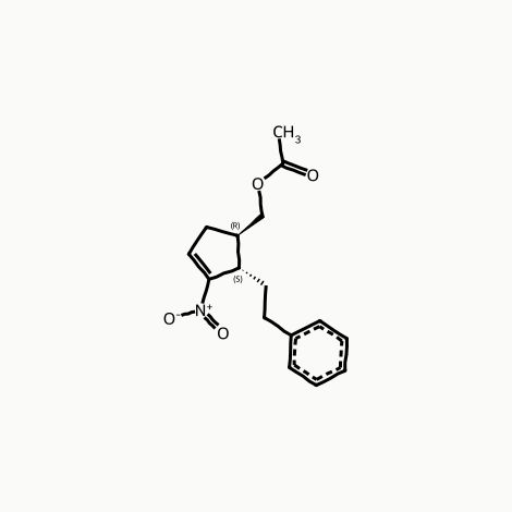 CC(=O)OC[C@@H]1CC=C([N+](=O)[O-])[C@H]1CCc1ccccc1